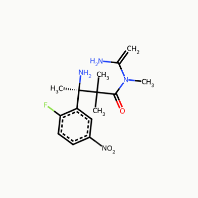 C=C(N)N(C)C(=O)C(C)(C)[C@](C)(N)c1cc([N+](=O)[O-])ccc1F